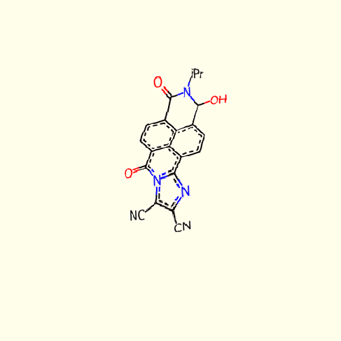 CC(C)N1C(=O)c2ccc3c(=O)n4c(C#N)c(C#N)nc4c4ccc(c2c34)C1O